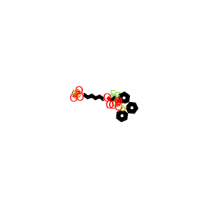 CS(=O)(=O)OCCCCCCOC(=O)C(F)(F)S(=O)(=O)OS(c1ccccc1)(c1ccccc1)c1ccccc1